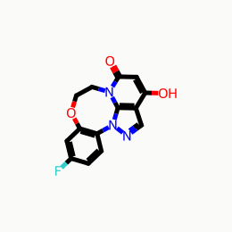 O=c1cc(O)c2cnn3c2n1CCOc1cc(F)ccc1-3